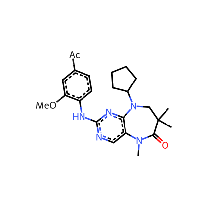 COc1cc(C(C)=O)ccc1Nc1ncc2c(n1)N(C1CCCC1)CC(C)(C)C(=O)N2C